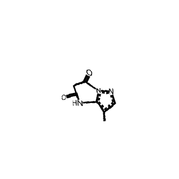 Cc1cnn2c1NC(=O)CC2=O